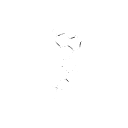 CC(C)(C)OC(=O)N1CCN(c2ccnc3cc(Cl)ccc23)CC1